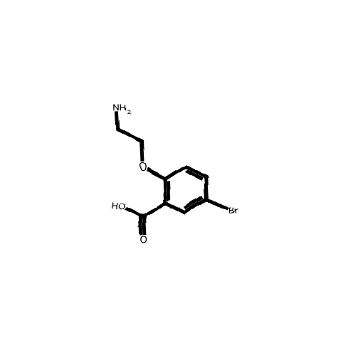 NCCOc1ccc(Br)cc1C(=O)O